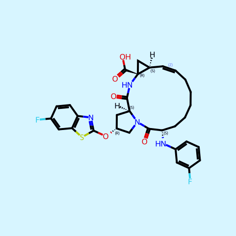 O=C1N[C@]2(C(=O)O)C[C@H]2/C=C\CCCCC[C@H](Nc2cccc(F)c2)C(=O)N2C[C@H](Oc3nc4ccc(F)cc4s3)C[C@@H]12